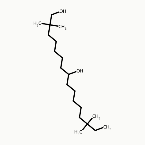 CCC(C)(C)CCCCCC(O)CCCCCC(C)(C)CO